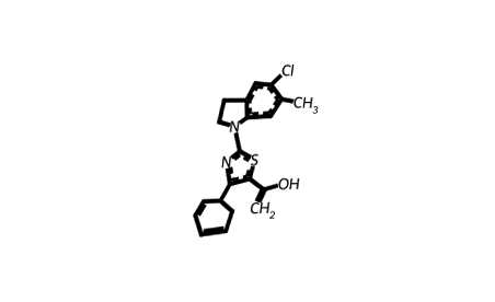 C=C(O)c1sc(N2CCc3cc(Cl)c(C)cc32)nc1C1C=CC=CC1